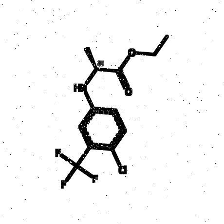 CCOC(=O)[C@H](C)Nc1ccc(Cl)c(C(F)(F)F)c1